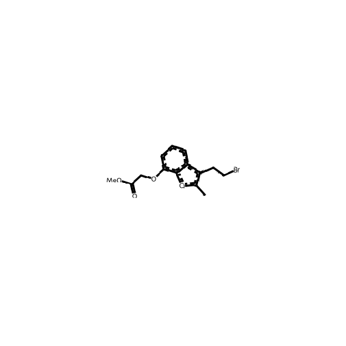 COC(=O)COc1cccc2c(CCBr)c(C)oc12